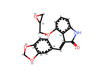 O=C1Nc2cccc(OCC3CO3)c2/C1=C\c1ccc2c(c1)OCO2